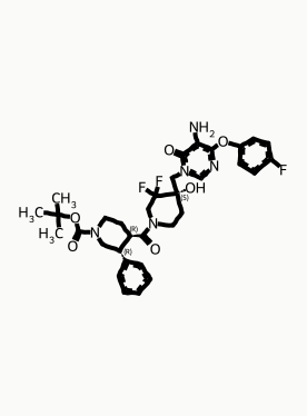 CC(C)(C)OC(=O)N1CC[C@@H](C(=O)N2CC[C@](O)(Cn3cnc(Oc4ccc(F)cc4)c(N)c3=O)C(F)(F)C2)[C@H](c2ccccc2)C1